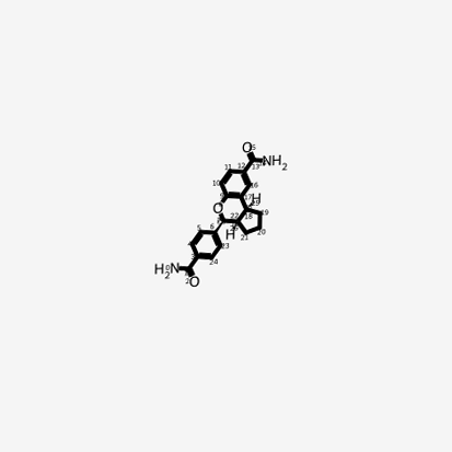 NC(=O)c1ccc([C@H]2Oc3ccc(C(N)=O)cc3[C@H]3CCC[C@H]32)cc1